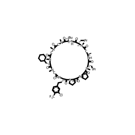 CC[C@H](C)[C@@H]1NC(=O)[C@H](CC(C)C)N(C)C(=O)C[C@@H](C)NC(=O)[C@H](CC(C)C)N(C)C(=O)C2(CCCC2)NC(=O)[C@@H]2CCCN2C(=O)[C@H](CCc2ccc(C(F)(F)F)c(Cl)c2)NC(=O)CN(C)C(=O)[C@H](CC2CCCCC2)N(C)C(=O)CN(C)C(=O)CN(C)C1=O